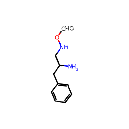 NC(CNOC=O)Cc1ccccc1